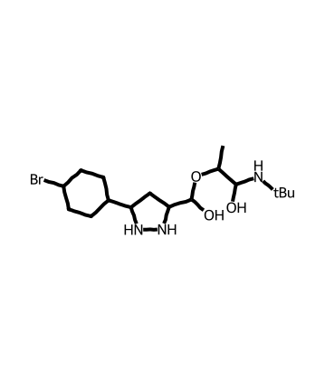 CC(OC(O)C1CC(C2CCC(Br)CC2)NN1)C(O)NC(C)(C)C